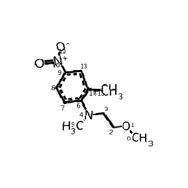 COCCN(C)c1ccc([N+](=O)[O-])cc1C